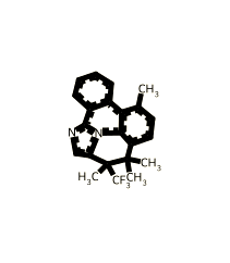 Cc1ccc2c3c1c1ccccc1c1ncc(n13)C(C)(C(F)(F)F)C2(C)C